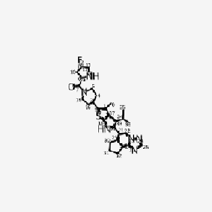 Cc1c(C2CCN(C(=O)[C@H]3C[C@H](F)CN3)CC2)sc2[nH]c(-c3cn4ncnc4c4c3CCC4)c(C(C)C)c12